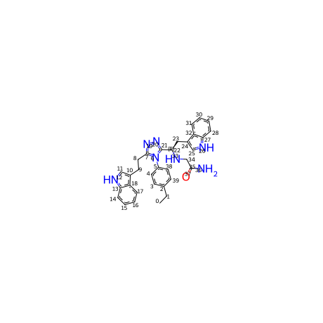 CCc1ccc(-n2c(CCc3c[nH]c4ccccc34)nnc2[C@@H](Cc2c[nH]c3ccccc23)NCC(N)=O)cc1